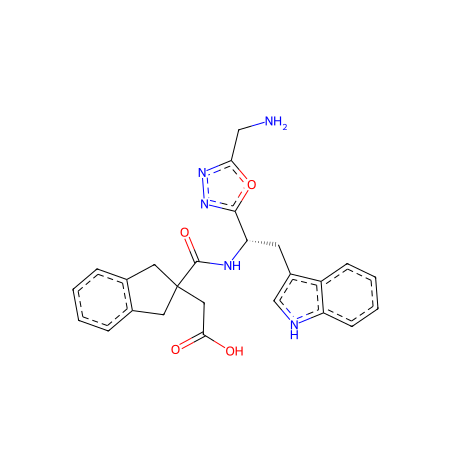 NCc1nnc([C@H](Cc2c[nH]c3ccccc23)NC(=O)C2(CC(=O)O)Cc3ccccc3C2)o1